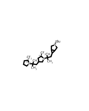 CC(C)(C)N1CC2C(C1)C2CC(C)(C)N1CC(CC(C)(C)N2CCC[C@@H]2C(F)(F)F)C[C@H]1C(F)(F)F